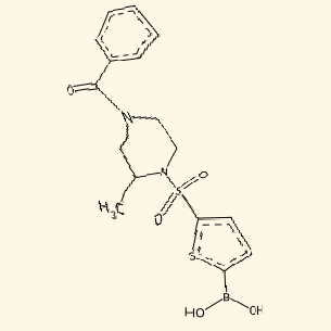 CC1CN(C(=O)c2ccccc2)CCN1S(=O)(=O)c1ccc(B(O)O)s1